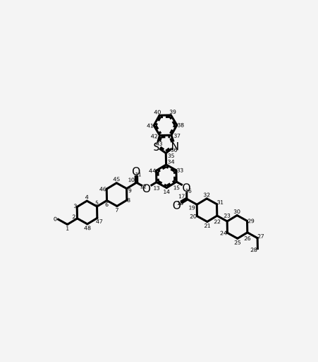 CCC1CCC(C2CCC(C(=O)Oc3cc(OC(=O)C4CCC(C5CCC(CC)CC5)CC4)cc(-c4nc5ccccc5s4)c3)CC2)CC1